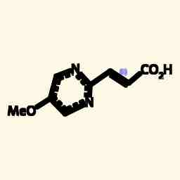 COc1cnc(/C=C/C(=O)O)nc1